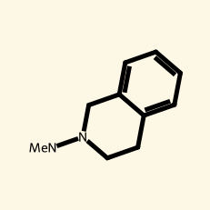 CNN1CCc2ccccc2C1